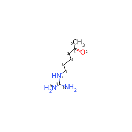 CC(=O)CCCCNC(N)N